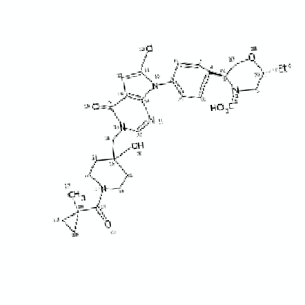 CC[C@@H]1CN(C(=O)O)[C@@H](c2ccc(-n3c(Cl)cc4c(=O)n(CC5(O)CCN(C(=O)C6(C)CC6)CC5)cnc43)cc2)CO1